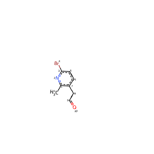 Cc1nc(Br)ccc1CC=O